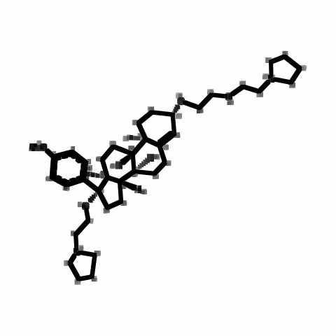 COc1ccc([C@]2(OCCN3CCCC3)CC[C@H]3[C@@H]4CCC5=C[C@@H](OCCOCCN6CCCC6)CC[C@]5(C)[C@H]4CC[C@@]32C)cc1